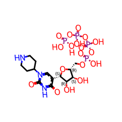 O=c1[nH]c(=O)n(C2CCNCC2)cc1[C@@H]1O[C@H](COP(=O)(O)OP(=O)(O)OP(=O)(O)OP(=O)(O)O)[C@@H](O)[C@H]1O